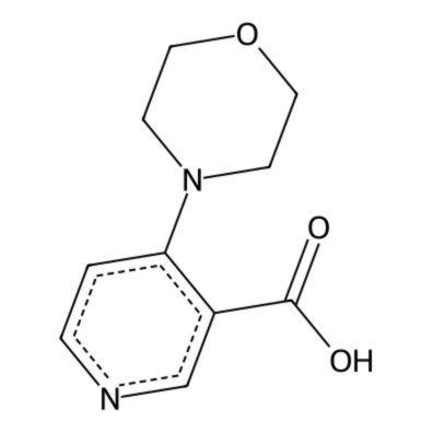 O=C(O)c1cnccc1N1CCOCC1